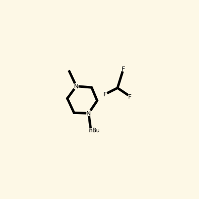 CCCCN1CCN(C)CC1.FC(F)F